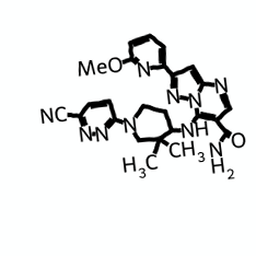 COc1cccc(-c2cc3ncc(C(N)=O)c(NC4CCN(c5ccc(C#N)nn5)CC4(C)C)n3n2)n1